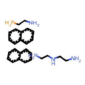 NCCNCCN.NCCP.c1ccc2ccccc2c1.c1ccc2ccccc2c1